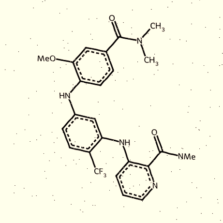 CNC(=O)c1ncccc1Nc1cc(Nc2ccc(C(=O)N(C)C)cc2OC)ccc1C(F)(F)F